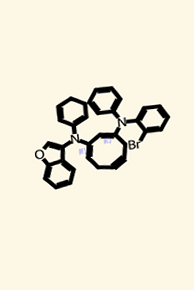 Brc1ccccc1N(/C1=C/C(N(C2=CCCC=C2)c2coc3ccccc23)=C\CC#CC1)c1ccccc1